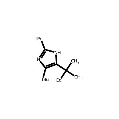 CCC(C)(C)c1[nH]c(C(C)C)nc1C(C)(C)C